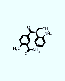 CCN(C(=O)c1ccc(C)c(C(N)=O)c1)c1ccccc1N